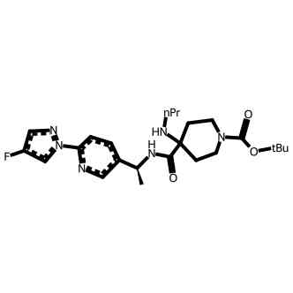 CCCNC1(C(=O)N[C@@H](C)c2ccc(-n3cc(F)cn3)nc2)CCN(C(=O)OC(C)(C)C)CC1